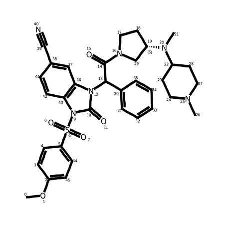 COc1ccc(S(=O)(=O)n2c(=O)n(C(C(=O)N3CC[C@H](N(C)C4CCN(C)CC4)C3)c3ccccc3)c3cc(C#N)ccc32)cc1